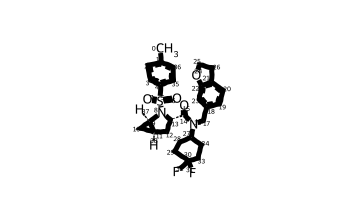 Cc1ccc(S(=O)(=O)N2[C@@H]3C[C@@H]3C[C@H]2C(=O)N(Cc2ccc3c(c2)OCC3)C2CCC(F)(F)CC2)cc1